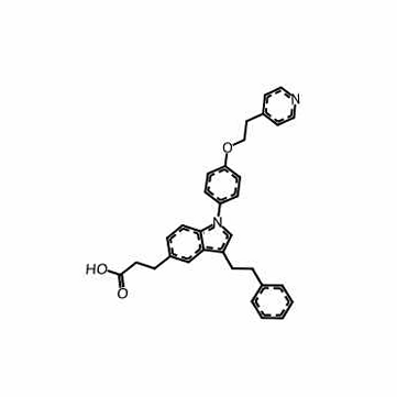 O=C(O)CCc1ccc2c(c1)c(CCc1ccccc1)cn2-c1ccc(OCCc2ccncc2)cc1